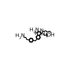 CCCCc1nc2c(N)nc3cc(Cc4ccc(CCCN)cc4)ccc3c2n1CC(C)(C)O